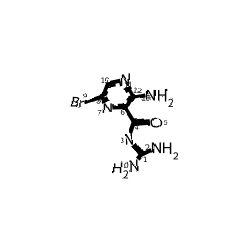 NC(N)=NC(=O)c1nc(Br)cnc1N